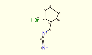 Br.N=C=NCC1CCCCC1